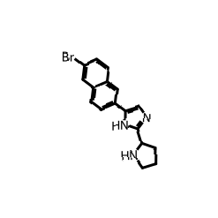 Brc1ccc2cc(-c3cnc(C4CCCN4)[nH]3)ccc2c1